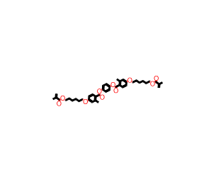 C=C(C)C(=O)OCCCCCCOc1ccc(C(=O)Oc2ccc(OC(=O)c3ccc(OCCCCCCOC(=O)C(=C)C)cc3C)cc2)c(C)c1